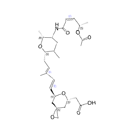 CC(=O)O[C@@H](C)/C=C\C(=O)NC1CC(C)[C@H](C/C=C(C)/C=C/[C@@H]2C[C@]3(CO3)C[C@@H](CC(=O)O)O2)O[C@@H]1C